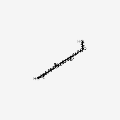 O=C(CSCSCSCSCC[S+]([O-])CSCSCSCSCSC(=O)CSCSCSCSCC[S+]([O-])CCCO)SCCCO